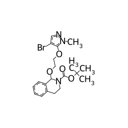 Cn1ncc(Br)c1OCCOC1c2ccccc2CCN1C(=O)OC(C)(C)C